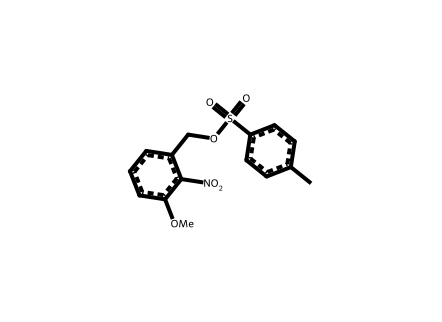 COc1cccc(COS(=O)(=O)c2ccc(C)cc2)c1[N+](=O)[O-]